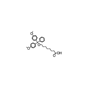 COc1ccc(C(OCCCCCCCC(=O)O)(c2ccccc2)c2ccc(OC)cc2)cc1